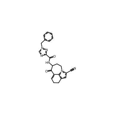 N#Cc1cc2c3n1CCC(NC(=O)c1ncn(Cc4ccccc4)n1)C(=O)C3=CCC2